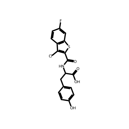 O=C(NC(Cc1ccc(O)cc1)C(=O)O)c1sc2cc(F)ccc2c1Cl